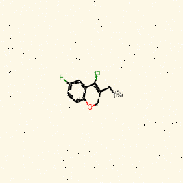 CC(C)(C)CC1=C(Cl)c2cc(F)ccc2OC1